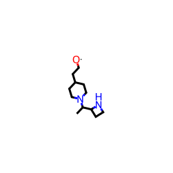 CC(C1CCN1)N1CCC(CC[O])CC1